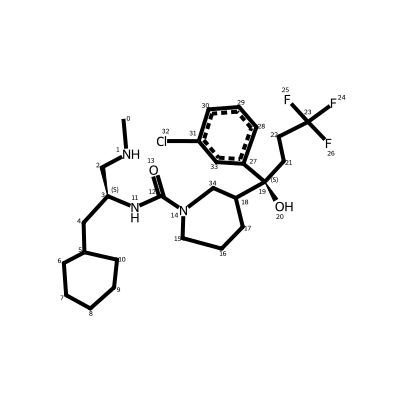 CNC[C@H](CC1CCCCC1)NC(=O)N1CCCC([C@@](O)(CCC(F)(F)F)c2cccc(Cl)c2)C1